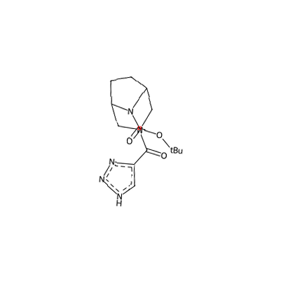 CC(C)(C)OC(=O)N1C2CCC1CN(C(=O)c1c[nH]nn1)C2